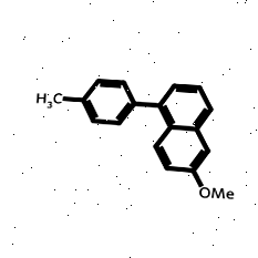 COc1ccc2c(-c3ccc(C)cc3)cccc2c1